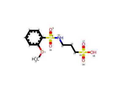 COc1ccccc1S(=O)(=O)NCCCS(=O)(=O)O